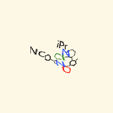 Cc1ccc(C(=O)N2CC(c3ccc(C#N)cc3)C2)cc1C1=C(Cl)N=C(C(C)C)CCC1